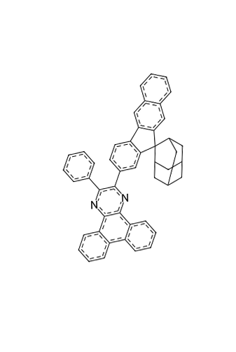 c1ccc(-c2nc3c4ccccc4c4ccccc4c3nc2-c2ccc3c(c2)C2(c4cc5ccccc5cc4-3)C3CC4CC(C3)CC2C4)cc1